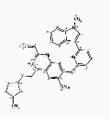 C=CC(=O)Nc1cc(Nc2nccc(-c3cn(C)c4ccccc34)n2)c(OC)cc1N(C)CCN1CCC(C)C1